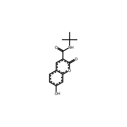 CC(C)(C)NC(=O)c1cc2ccc(O)cc2oc1=O